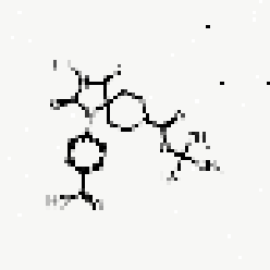 CN1C(=O)N(c2ccc(C(=O)O)cc2)C2(CCN(C(=O)OC(C)(C)C)CC2)C1=O